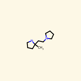 CC1(CCN2CCCC2)CCC[N]1